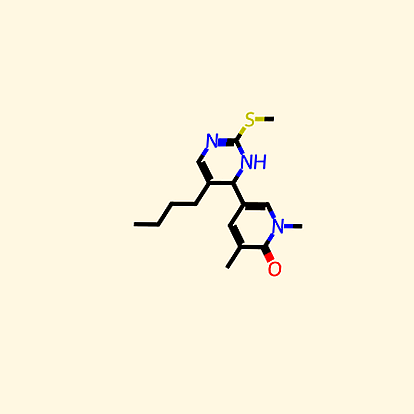 CCCCC1=CN=C(SC)NC1c1cc(C)c(=O)n(C)c1